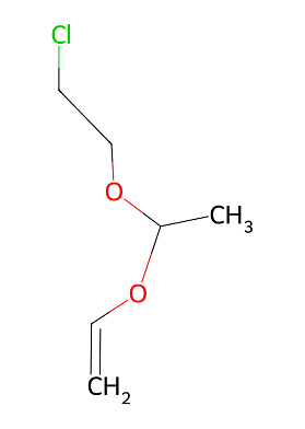 C=COC(C)OCCCl